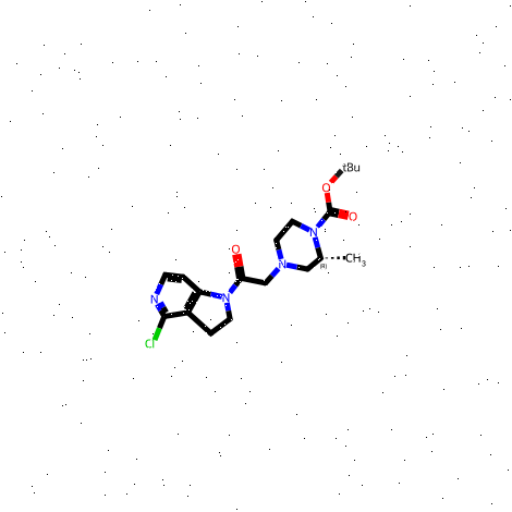 C[C@@H]1CN(CC(=O)N2CCc3c2ccnc3Cl)CCN1C(=O)OC(C)(C)C